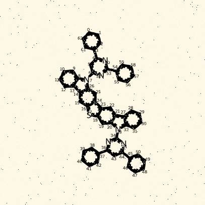 c1ccc(-c2cc(-n3c4ccccc4c4cc5sc6cc7c(cc6c5cc43)c3ccccc3n7-c3nc(-c4ccccc4)cc(-c4ccccc4)n3)nc(-c3ccccc3)n2)cc1